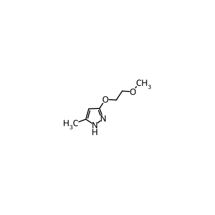 COCCOc1cc(C)[nH]n1